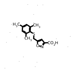 Cc1cc(C)c(SCc2cc(C(=O)O)no2)c(C)c1